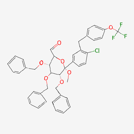 CO[C@@]1(c2ccc(Cl)c(Cc3ccc(OC(F)(F)F)cc3)c2)OC(C=O)[C@@H](OCc2ccccc2)C(OCc2ccccc2)[C@H]1OCc1ccccc1